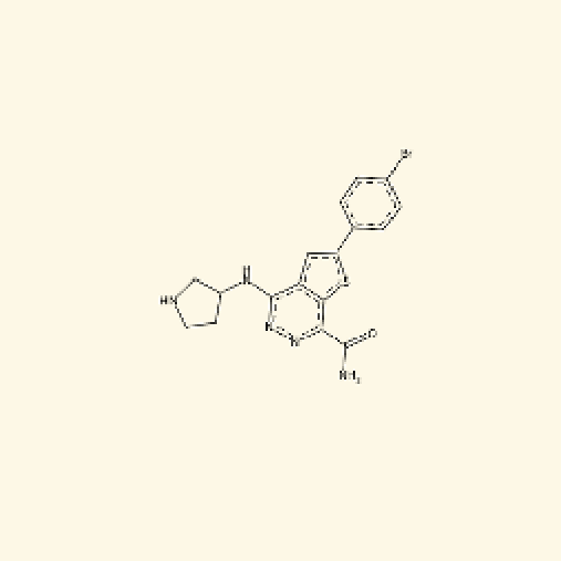 NC(=O)c1nnc(NC2CCNC2)c2cc(-c3ccc(Br)cc3)sc12